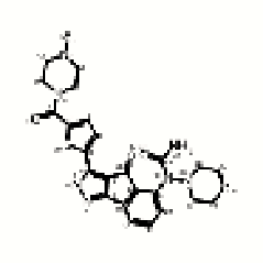 CCN1CCN(C(=O)c2ccc(-c3[nH]nc4c3C(=O)c3c-4cccc3N(C(N)=O)N3CCOCC3)s2)CC1